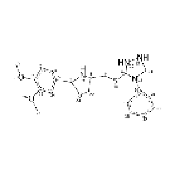 COc1ccc(C2NC(CSC3NNCN3c3ccccc3)CS2)cc1OC